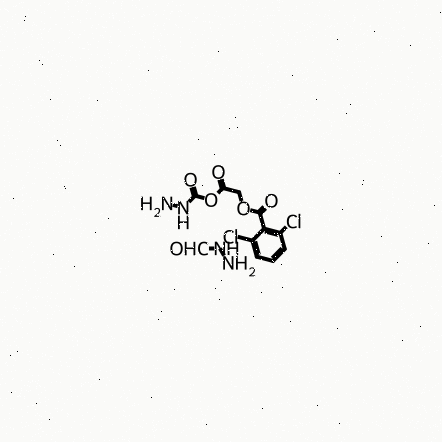 NNC(=O)OC(=O)COC(=O)c1c(Cl)cccc1Cl.NNC=O